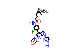 CCC(C)C(C)C(CCCC(=O)Nc1ccc(-c2cc(N3CCOC[C@H]3C)nc3c2cnn3-c2cc[nH]n2)c(F)c1)C(C)CC